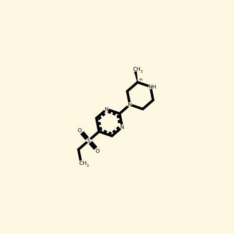 CCS(=O)(=O)c1cnc(N2CCN[C@H](C)C2)nc1